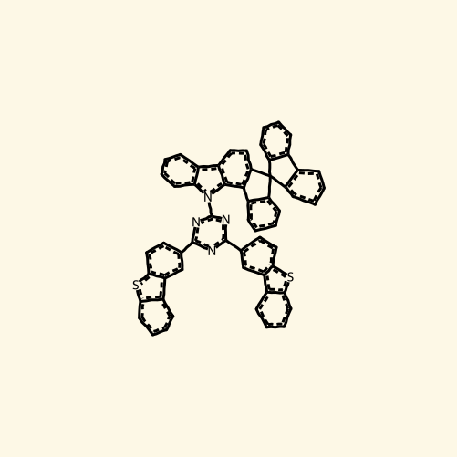 c1ccc2c(c1)-c1ccccc1C21c2ccccc2-c2c1ccc1c3ccccc3n(-c3nc(-c4ccc5sc6ccccc6c5c4)nc(-c4ccc5sc6ccccc6c5c4)n3)c21